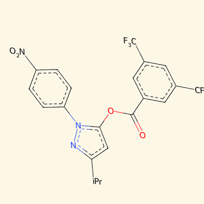 CC(C)c1cc(OC(=O)c2cc(C(F)(F)F)cc(C(F)(F)F)c2)n(-c2ccc([N+](=O)[O-])cc2)n1